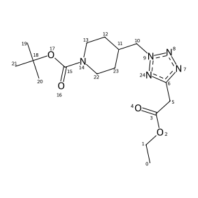 CCOC(=O)Cc1nnn(CC2CCN(C(=O)OC(C)(C)C)CC2)n1